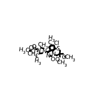 COCC1(COC)CSc2c(Cl)c(C)cc3c(N4C[C@@H](C)N(C(=O)OC(C)(C)C)[C@@H](C)C4)nc(=O)n(c23)C1